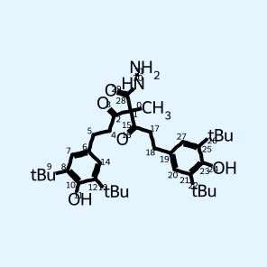 CC(C(=O)CCc1cc(C(C)(C)C)c(O)c(C(C)(C)C)c1)(C(=O)CCc1cc(C(C)(C)C)c(O)c(C(C)(C)C)c1)C(=O)NN